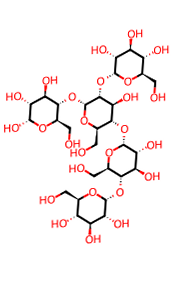 OC[C@H]1O[C@H](O[C@H]2[C@@H](O[C@H]3[C@H](O)[C@@H](O)[C@@H](O)O[C@@H]3CO)O[C@H](CO)[C@@H](O[C@H]3O[C@H](CO)[C@@H](O[C@H]4O[C@H](CO)[C@@H](O)[C@H](O)[C@H]4O)[C@H](O)[C@H]3O)[C@@H]2O)[C@H](O)[C@@H](O)[C@@H]1O